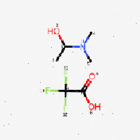 CC(O)N(C)C.O=C(O)C(F)(F)F